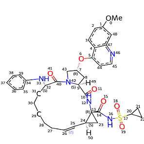 COc1ccc2c(O[C@@H]3C[C@H]4C(=O)N[C@]5(C(=O)NS(=O)(=O)C6CC6)C[C@H]5/C=C\CCCCC[C@H](Nc5ccccc5)C(=O)N4C3)ccnc2c1